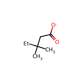 CCC(C)(C)CC([O])=O